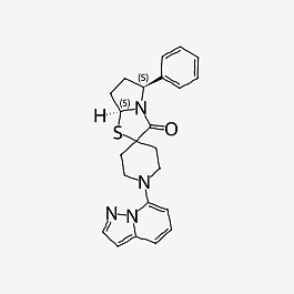 O=C1N2[C@H](CC[C@H]2c2ccccc2)SC12CCN(c1cccc3ccnn13)CC2